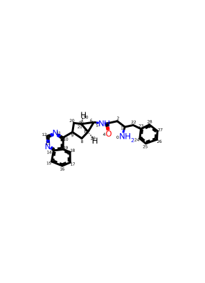 NC(CC(=O)NC1[C@H]2CC(c3ncnc4ccccc34)C[C@@H]12)Cc1ccccc1